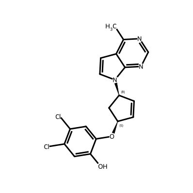 Cc1ncnc2c1ccn2[C@H]1C=C[C@@H](Oc2cc(Cl)c(Cl)cc2O)C1